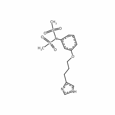 CS(=O)(=O)N(c1cccc(OCCCc2c[nH]cn2)c1)S(C)(=O)=O